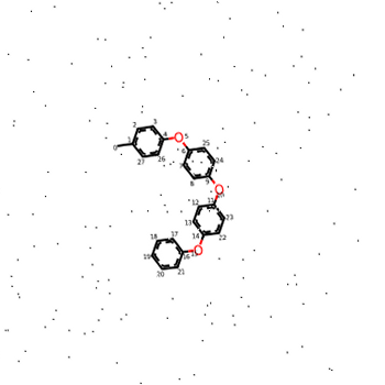 Cc1ccc(Oc2ccc(Oc3ccc(Oc4ccccc4)cc3)cc2)cc1